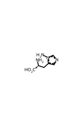 N[C@@H](Cc1cncn1N)C(=O)O